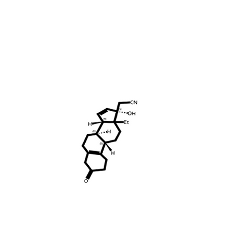 CCC12CC[C@@H]3C4=C(CC[C@H]3[C@@H]1C=C[C@@]2(O)CC#N)CC(=O)CC4